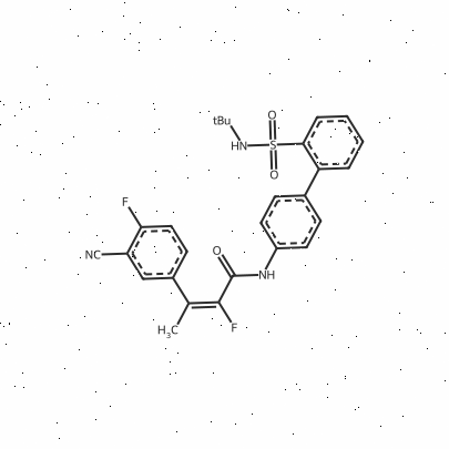 CC(=C(F)C(=O)Nc1ccc(-c2ccccc2S(=O)(=O)NC(C)(C)C)cc1)c1ccc(F)c(C#N)c1